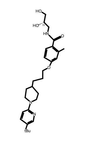 Cc1cc(OCCCC2CCN(c3ccc(C(C)(C)C)cn3)CC2)ccc1C(=O)NC[C@H](O)CO